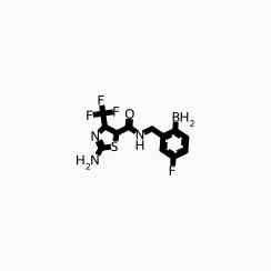 Bc1ccc(F)cc1CNC(=O)C1SC(N)=NC1C(F)(F)F